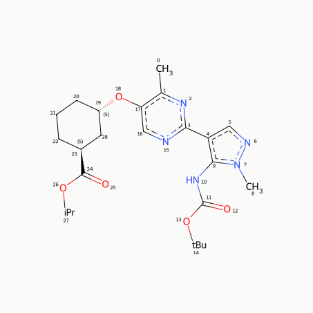 Cc1nc(-c2cnn(C)c2NC(=O)OC(C)(C)C)ncc1O[C@H]1CCC[C@H](C(=O)OC(C)C)C1